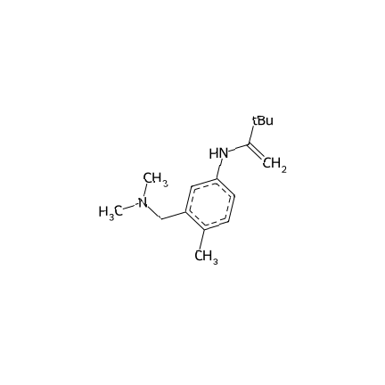 C=C(Nc1ccc(C)c(CN(C)C)c1)C(C)(C)C